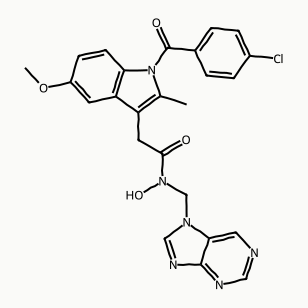 COc1ccc2c(c1)c(CC(=O)N(O)Cn1cnc3ncncc31)c(C)n2C(=O)c1ccc(Cl)cc1